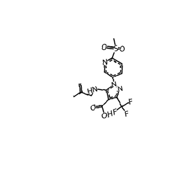 C=C(C)CNc1c(C(=O)O)c(C(F)(F)F)nn1-c1ccc(S(C)(=O)=O)nc1